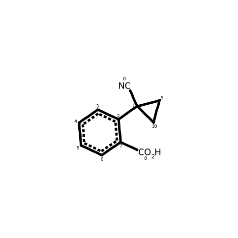 N#CC1(c2ccccc2C(=O)O)CC1